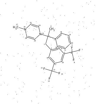 [CH2]C(Cc1cc(C(F)(F)F)cc(C(F)(F)F)c1)(c1ccccc1)N1C=CN(C)C=C1